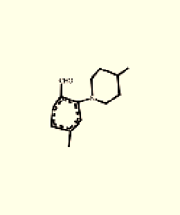 Cc1ccc(C=O)c(N2CCC(C)CC2)c1